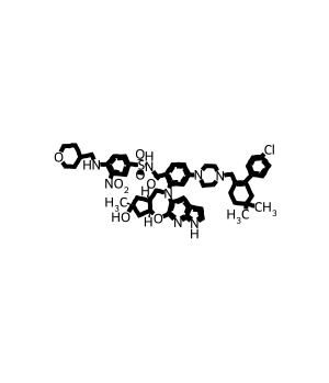 CC1(C)CCC(CN2CCN(c3ccc(C(=O)NS(=O)(=O)c4ccc(NCC5CCOCC5)c([N+](=O)[O-])c4)c(N4C[C@@H]5C[C@](C)(O)C[C@@H]5Oc5nc6[nH]ccc6cc54)c3)CC2)=C(c2ccc(Cl)cc2)C1